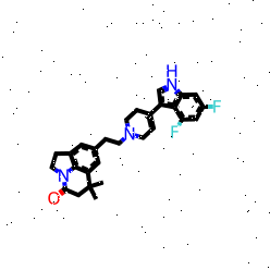 CC1(C)CC(=O)N2CCc3cc(CCN4CC=C(c5c[nH]c6cc(F)cc(F)c56)CC4)cc1c32